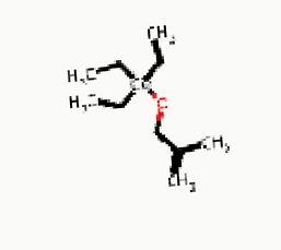 C=C(C)C[O][Ge]([CH2]C)([CH2]C)[CH2]C